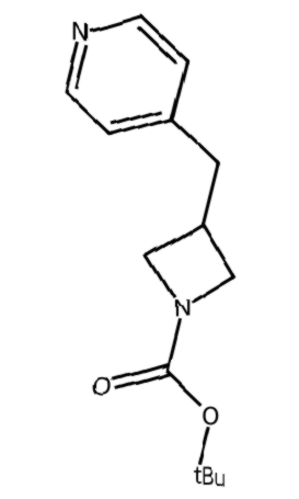 CC(C)(C)OC(=O)N1CC(Cc2ccncc2)C1